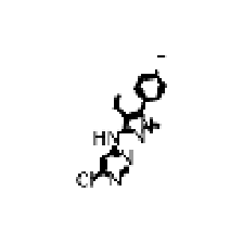 CCc1c(Nc2cc(Cl)ncn2)nn(C)c1-c1ccc(F)cc1